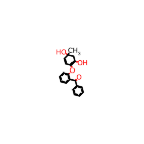 CC1(O)C=CC(Oc2ccccc2C(=O)c2ccccc2)=C(O)C1